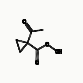 CC(=O)C1(C(=O)OO)CC1